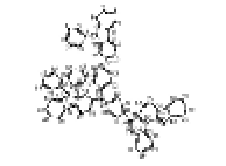 c1ccc(-n2c3ccccc3c3ccc(-c4ccc(N(c5ccc(-c6nc7ccccc7c7c6ccc6c8ccccc8sc67)cc5)c5ccc6c(c5)C(c5ccccc5)(c5ccccc5)c5ccccc5-6)cc4)cc32)cc1